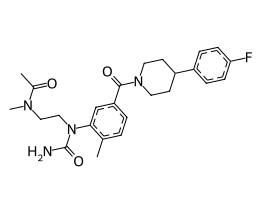 CC(=O)N(C)CCN(C(N)=O)c1cc(C(=O)N2CCC(c3ccc(F)cc3)CC2)ccc1C